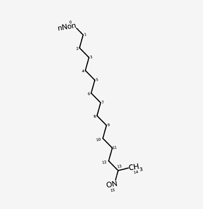 CCCCCCCCCCCCCCCCCCCCCC(C)N=O